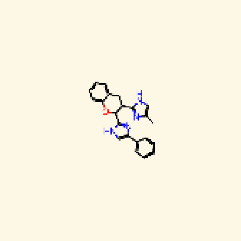 Cc1c[nH]c(C2Cc3cc[c]cc3OC2c2nc(-c3ccccc3)c[nH]2)n1